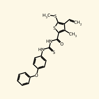 C=Cc1c(SC)sc(C(=O)NC(=S)Nc2ccc(Oc3ccccc3)cc2)c1C